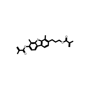 C=C(C)C(=O)OCCCc1ccc2c(sc3c(C)c(OC(=O)C(=C)C)ccc32)c1C